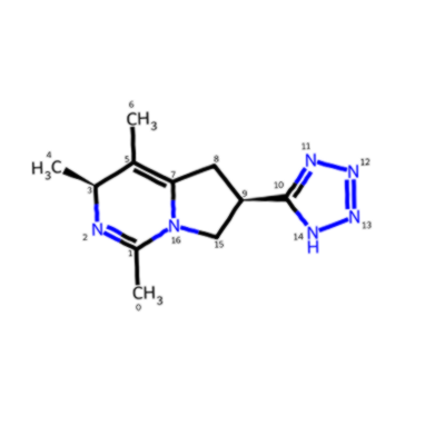 CC1=N[C@@H](C)C(C)=C2C[C@@H](c3nnn[nH]3)CN12